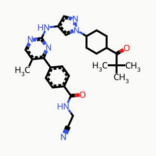 Cc1cnc(Nc2cnn(C3CCC(C(=O)C(C)(C)C)CC3)c2)nc1-c1ccc(C(=O)NCC#N)cc1